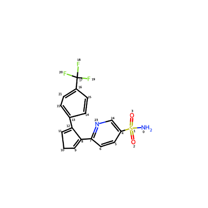 NS(=O)(=O)c1ccc(C2=CCC=C2c2ccc(C(F)(F)F)cc2)nc1